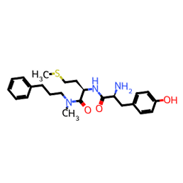 CSCC[C@@H](NC(=O)[C@@H](N)Cc1ccc(O)cc1)C(=O)N(C)CCCc1ccccc1